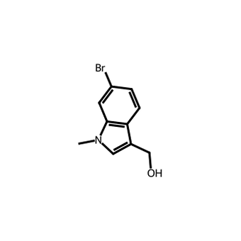 Cn1cc(CO)c2ccc(Br)cc21